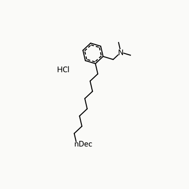 CCCCCCCCCCCCCCCCCCc1ccccc1CN(C)C.Cl